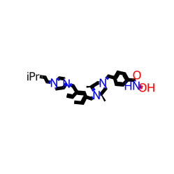 C=C/C(=C\C(=C/C)CN1[C@H](C)CN(Cc2ccc(C(=O)NO)cc2)C[C@@H]1C)CN1CCN(CCC(C)C)CC1